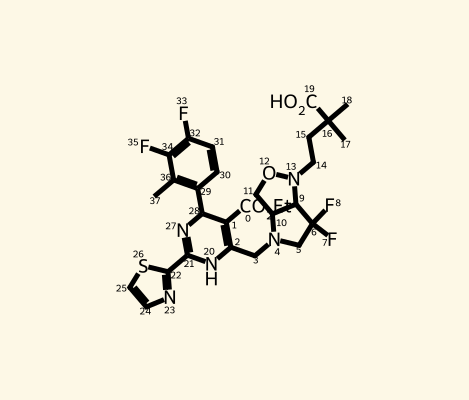 CCOC(=O)C1=C(CN2CC(F)(F)C3C2CON3CCC(C)(C)C(=O)O)NC(c2nccs2)=NC1c1ccc(F)c(F)c1C